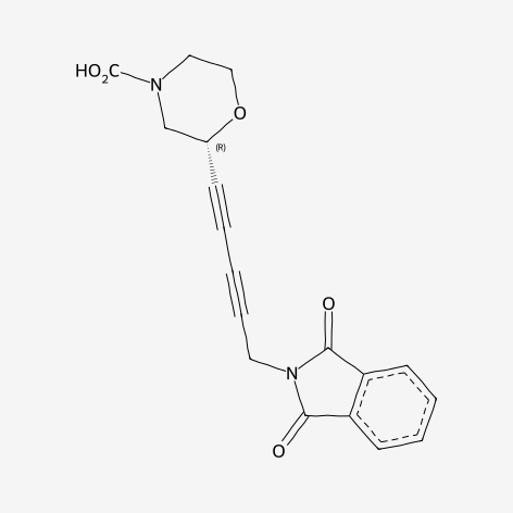 O=C(O)N1CCO[C@H](C#CC#CCN2C(=O)c3ccccc3C2=O)C1